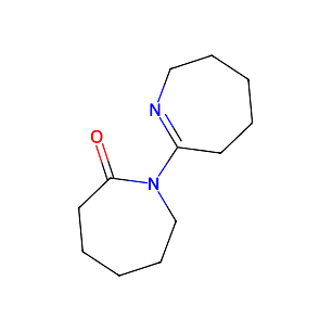 O=C1CCCCCN1C1=NCCCCC1